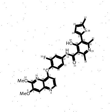 COc1cc2nccc(Oc3ccc(NC(=O)c4c(C)nc(C)c(-c5ccc(C)s5)c4O)cc3F)c2nc1OC